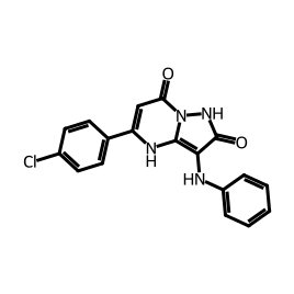 O=c1[nH]n2c(=O)cc(-c3ccc(Cl)cc3)[nH]c2c1Nc1ccccc1